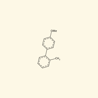 COc1ccc(-c2ccccc2C)cc1